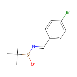 CC(C)(C)[S+]([O-])N=Cc1ccc(Br)cc1